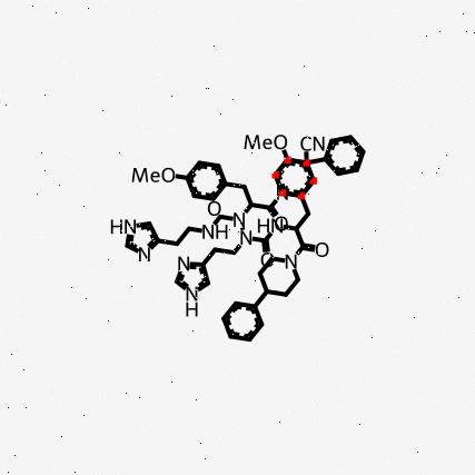 COc1ccc(CC(NC(=O)N(CCc2c[nH]cn2)N(C(=O)NCCc2c[nH]cn2)C(Cc2ccc(OC)cc2)C(=O)N2CCC(C#N)(c3ccccc3)CC2)C(=O)N2CCC(c3ccccc3)CC2)cc1